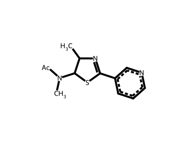 CC(=O)N(C)C1SC(c2cccnc2)=NC1C